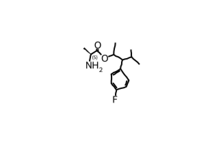 CC(C)C(c1ccc(F)cc1)C(C)OC(=O)[C@H](C)N